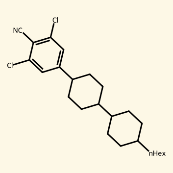 CCCCCCC1CCC(C2CCC(c3cc(Cl)c(C#N)c(Cl)c3)CC2)CC1